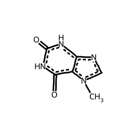 Cn1cnc2[nH]c(=O)[nH]c(=O)c21